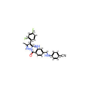 Cc1nn2c(=O)c3ccc(CNc4ccc(C#N)cc4)cc3[nH]c2c1-c1ccc(F)cc1F